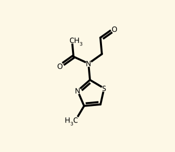 CC(=O)N(CC=O)c1nc(C)cs1